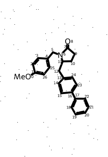 COc1ccc(CN2C(=O)CCC2Cc2ccc(-c3ccccc3)cc2)cc1